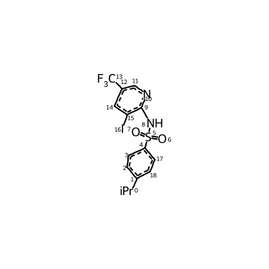 CC(C)c1ccc(S(=O)(=O)Nc2ncc(C(F)(F)F)cc2I)cc1